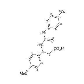 COc1ccc(C(CC(=O)O)NC(=O)Nc2ccc(C#N)cc2)cc1